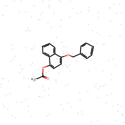 CC(=O)Oc1ccc(OCc2ccccc2)c2ccccc12